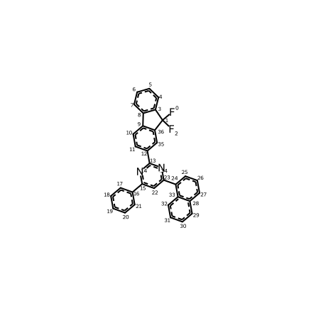 FC1(F)c2ccccc2-c2ccc(-c3nc(-c4ccccc4)cc(-c4cccc5ccccc45)n3)cc21